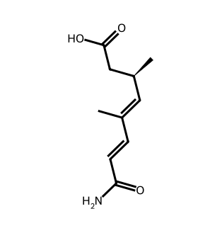 CC(/C=C/C(N)=O)=C\[C@H](C)CC(=O)O